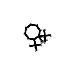 CC(C)(C)C1CCCCCCC1(P)C(C)(C)C